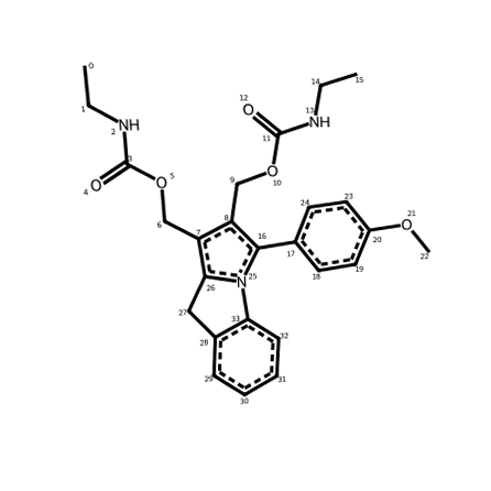 CCNC(=O)OCc1c(COC(=O)NCC)c(-c2ccc(OC)cc2)n2c1Cc1ccccc1-2